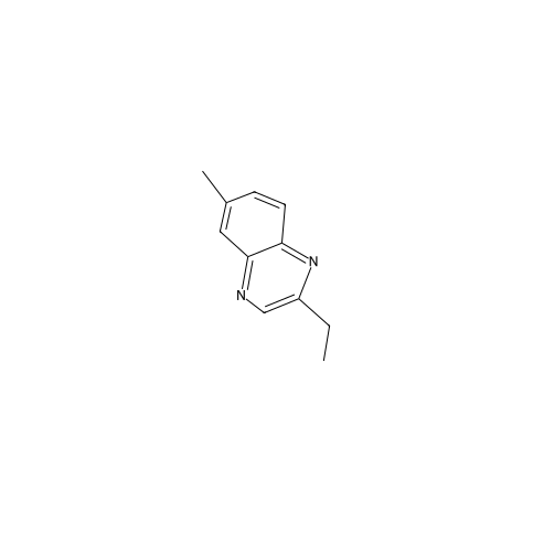 CCc1cnc2cc(C)ccc2n1